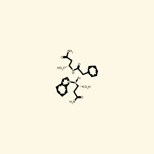 CC(=O)N([C@@H](CC(N)=O)C(=O)O)n1ccc2ccccc21.NC(=O)C[C@H](NC(=O)Cc1ccccc1)C(=O)O